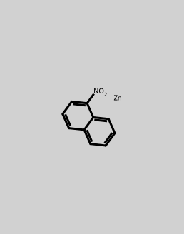 O=[N+]([O-])c1cccc2ccccc12.[Zn]